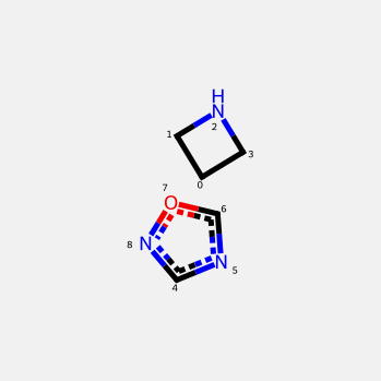 C1CNC1.c1ncon1